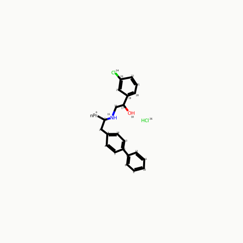 CCCC(Cc1ccc(-c2ccccc2)cc1)NCC(O)c1cccc(Cl)c1.Cl